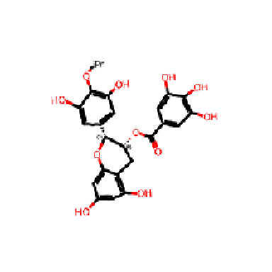 CC(C)Oc1c(O)cc([C@H]2Oc3cc(O)cc(O)c3C[C@H]2OC(=O)c2cc(O)c(O)c(O)c2)cc1O